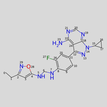 CCc1cc(NCNc2ccc(-c3nn(C4CC4)c4ncnc(N)c34)cc2F)on1